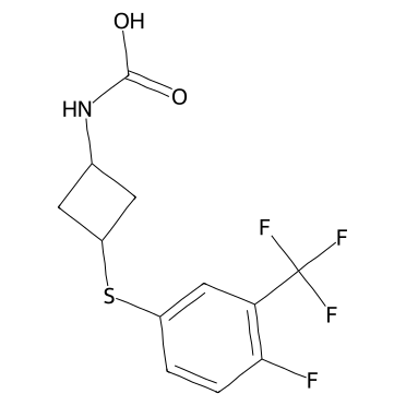 O=C(O)NC1CC(Sc2ccc(F)c(C(F)(F)F)c2)C1